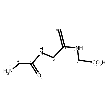 C=C(CNC(=O)CN)NCC(=O)O